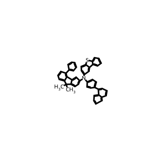 CC1(C)c2ccc(N(c3ccc(-c4cccc5ccccc45)cc3)c3ccc4sc5ccccc5c4c3)cc2-c2c(-c3ccccc3)cccc21